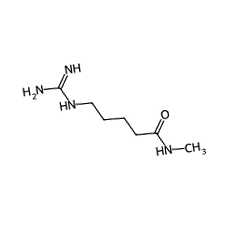 CNC(=O)CCCCNC(=N)N